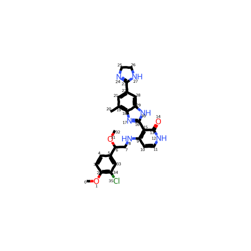 COc1ccc(C(CNc2cc[nH]c(=O)c2-c2nc3c(C)cc(C4=NCCN4)cc3[nH]2)OC)cc1Cl